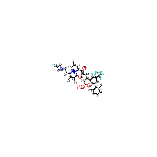 Cc1cccc(C)c1-c1cc([C@@H](CCC(=O)[C@H](CC(C)C)n2nc(CCN3CC(F)C3)c(C)c(C)c2=O)CC(=O)O)c(F)c(C(F)(F)F)c1